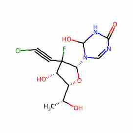 C[C@@H](O)[C@H]1O[C@@H](N2C=NC(=O)NC2O)C(F)(C#CCl)[C@H]1O